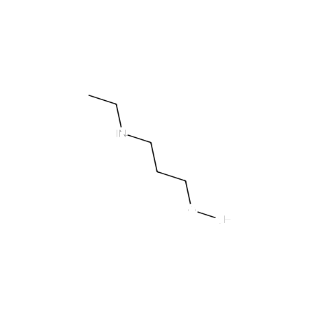 CCNCCCOS